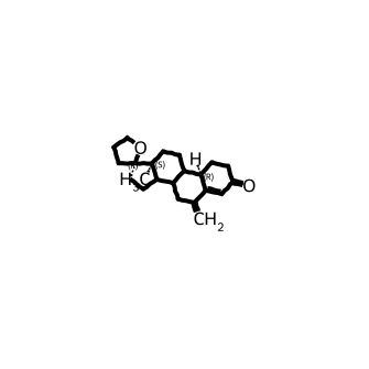 C=C1CC2C(CC[C@@]3(C)C2CC[C@@]32CCCO2)[C@H]2CCC(=O)C=C12